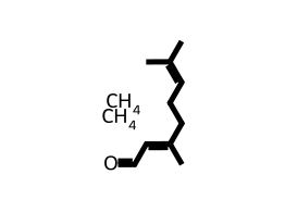 C.C.CC(C)=CCCC(C)=CC=O